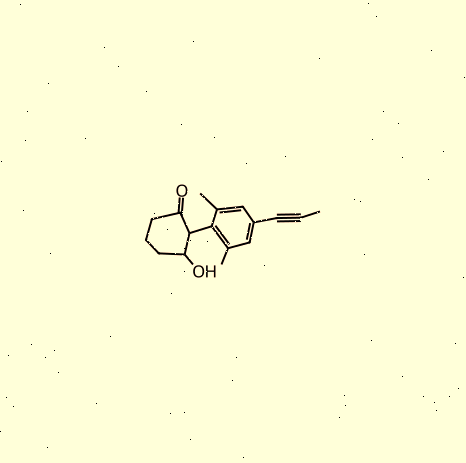 CC#Cc1cc(C)c(C2C(=O)CCCC2O)c(C)c1